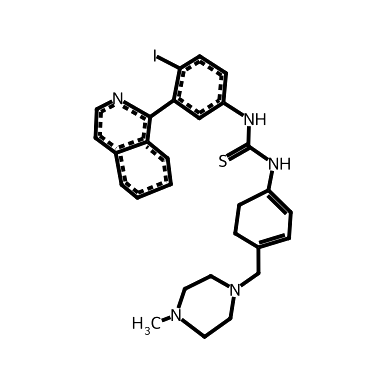 CN1CCN(CC2=CC=C(NC(=S)Nc3ccc(I)c(-c4nccc5ccccc45)c3)CC2)CC1